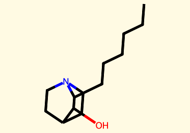 CCCCCCC1C(O)C2CCN1CC2